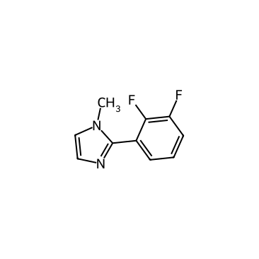 Cn1ccnc1-c1cccc(F)c1F